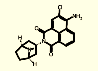 CN1[C@@H]2CC[C@H]1C[C@H](N1C(=O)c3cccc4c(N)c(Cl)cc(c34)C1=O)C2